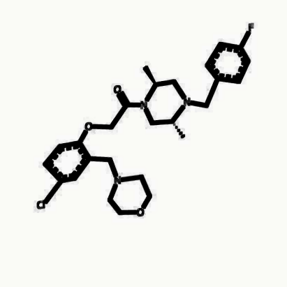 C[C@@H]1CN(C(=O)COc2ccc(Cl)cc2CN2CCOCC2)[C@@H](C)CN1Cc1ccc(F)cc1